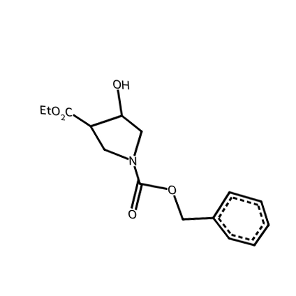 CCOC(=O)C1CN(C(=O)OCc2ccccc2)CC1O